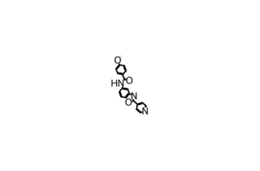 COc1ccc(C(=O)Nc2ccc3oc(-c4ccncc4)nc3c2)cc1